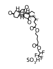 C[C@H](CCC(=O)OCCCCC(=O)OCC(F)C(F)(F)S(=O)(=O)O)[C@H]1CC[C@H]2[C@@H]3C(=O)C[C@@H]4CC(=O)CC[C@]4(C)[C@H]3CC(=O)[C@]12C